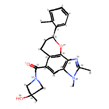 Cc1ccccc1[C@@H]1CCc2c(C(=O)N3CC(C)(O)C3)cc3c(nc(C)n3C)c2O1